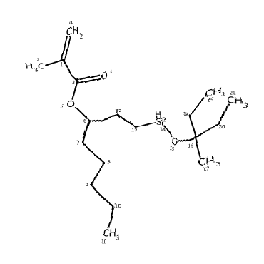 C=C(C)C(=O)OC(CCCCC)CC[SiH2]OC(C)(CC)CC